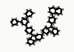 c1ccc(-c2cc(-c3ccc(-n4c5ccccc5c5ccc(-c6ccc7c(c6)c6ccccc6n7-c6ccc(-c7cccc8ccccc78)cc6)cc54)cc3)nc(-c3ccccc3)n2)cc1